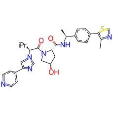 Cc1ncsc1-c1ccc([C@H](C)NC(=O)[C@@H]2C[C@@H](O)CN2C(=O)[C@H](C(C)C)n2cnc(-c3ccncc3)c2)cc1